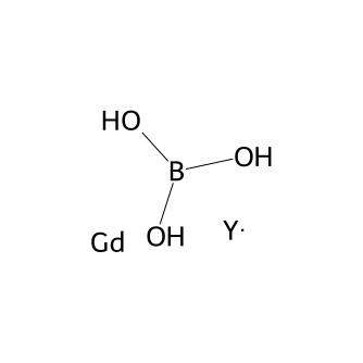 OB(O)O.[Gd].[Y]